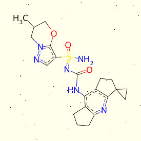 CC1COc2c(S(N)(=O)=NC(=O)Nc3c4c(nc5c3CCC53CC3)CCC4)cnn2C1